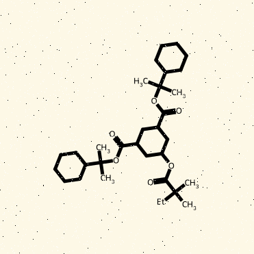 CCC(C)(C)C(=O)OC1CC(C(=O)OC(C)(C)C2CCCCC2)CC(C(=O)OC(C)(C)C2CCCCC2)C1